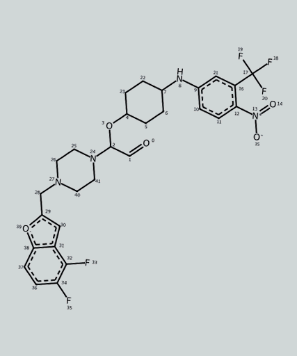 O=CC(OC1CCC(Nc2ccc([N+](=O)[O-])c(C(F)(F)F)c2)CC1)N1CCN(Cc2cc3c(F)c(F)ccc3o2)CC1